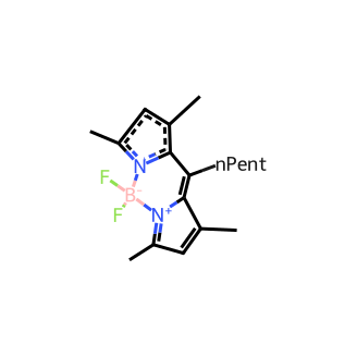 CCCCCC1=C2C(C)=CC(C)=[N+]2[B-](F)(F)n2c(C)cc(C)c21